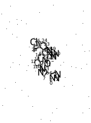 Cn1nncc1-c1cnn([C@H]2CCc3cc(-c4c(-n5cnnn5)ccc(Cl)c4F)c[n+]([O-])c32)c1